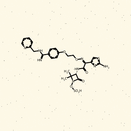 CC1(C)[C@H](NC(=O)C(=NOCCOc2ccc(C(=N)NCc3ccccn3)cc2)c2csc(N)n2)C(=O)N1OS(=O)(=O)O